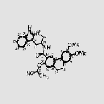 COc1cc2c(cc1OC)-c1cc(C(=O)NC(CO)Cc3c[nH]c4ccccc34)c(OC(C)C#N)cc1CC2